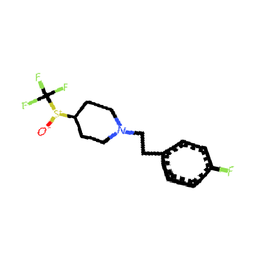 [O-][S+](C1CCN(CCc2ccc(F)cc2)CC1)C(F)(F)F